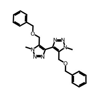 Cn1nnc(-c2nnn(C)c2COCc2ccccc2)c1COCc1ccccc1